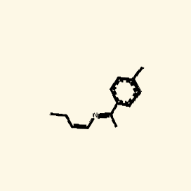 CC/C=C\N=C(/C)c1ccc(C)cc1